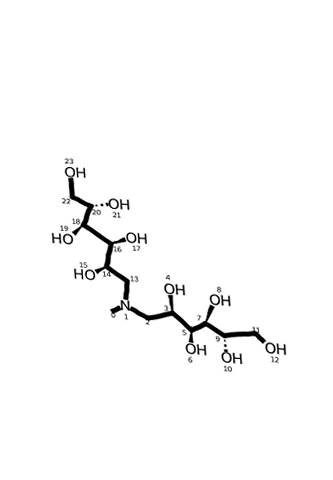 CN(C[C@@H](O)[C@H](O)[C@@H](O)[C@@H](O)CO)C[C@@H](O)[C@H](O)[C@@H](O)[C@@H](O)CO